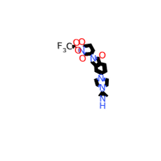 O=C1CCC(N2Cc3cc(N4CCN(C5CNC5)CC4)ccc3C2=O)C(=O)N1OC(=O)C(F)(F)F